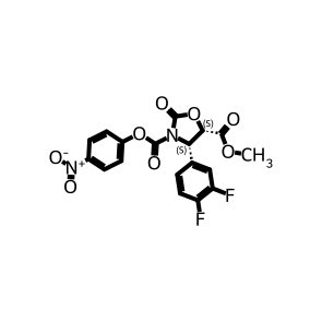 COC(=O)[C@H]1OC(=O)N(C(=O)Oc2ccc([N+](=O)[O-])cc2)[C@H]1c1ccc(F)c(F)c1